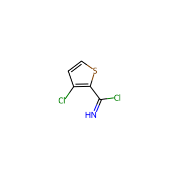 N=C(Cl)c1sccc1Cl